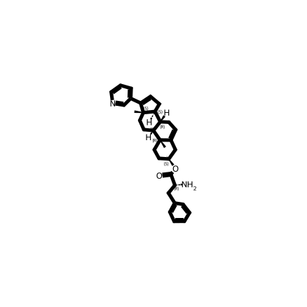 C[C@]12CC[C@H](OC(=O)[C@H](N)Cc3ccccc3)CC1=CC[C@@H]1[C@@H]2CC[C@]2(C)C(c3cccnc3)=CC[C@@H]12